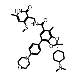 CSc1cc(C)[nH]c(=O)c1CNC(=O)c1cc(-c2ccc(N3CCOCC3)cc2)c2c(c1C)OC(C)([C@H]1CC[C@H](N(C)C)CC1)O2